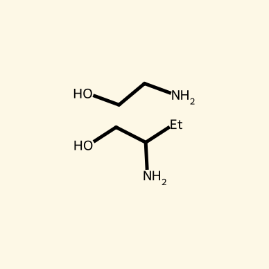 CCC(N)CO.NCCO